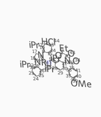 CCC1Oc2c(/[CH]=[Ru]/[CH]3N(c4c(C(C)C)cccc4C(C)C)CCN3c3c(C(C)C)cccc3C(C)C)cccc2N(C(=O)c2ccc(OC)cc2)C1=O.Cl